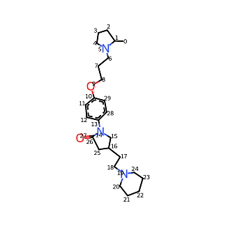 CC1CCCN1CCCOc1ccc(N2CC(CCN3CCCCC3)CC2=O)cc1